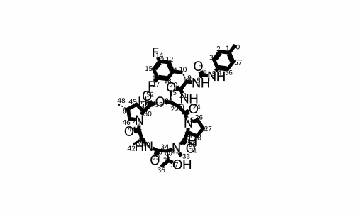 Cc1ccc(NC(=O)N[C@@H](Cc2cc(F)cc(F)c2)C(=O)N[C@@H]2C(=O)N3CCC[C@H]3C(=O)N(C)[C@@H](C(C)O)C(=O)N[C@@H](C)C(=O)N3C[C@H](C)C[C@H]3C(=O)O[C@H]2C)cc1